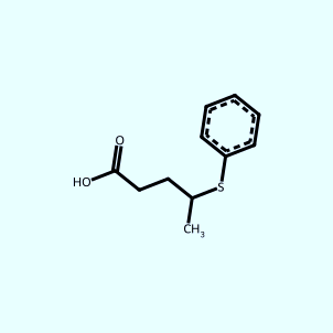 CC(CCC(=O)O)Sc1ccccc1